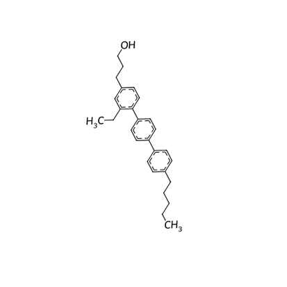 CCCCCc1ccc(-c2ccc(-c3ccc(CCCO)cc3CC)cc2)cc1